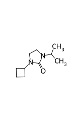 CC(C)N1CCN(C2CCC2)C1=O